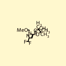 COCn1nc(C(F)F)cc1B1OC(C)(C)C(C)(C)O1